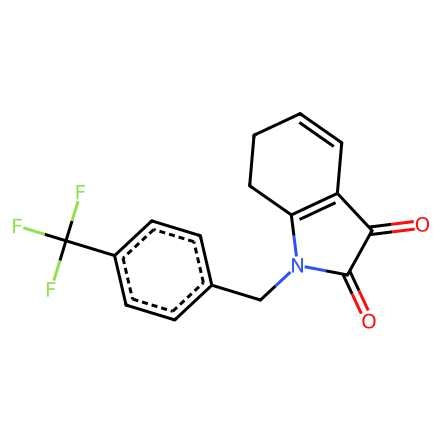 O=C1C(=O)N(Cc2ccc(C(F)(F)F)cc2)C2=C1C=CCC2